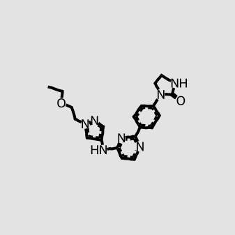 CCOCCn1cc(Nc2ccnc(-c3ccc(N4CCNC4=O)cc3)n2)cn1